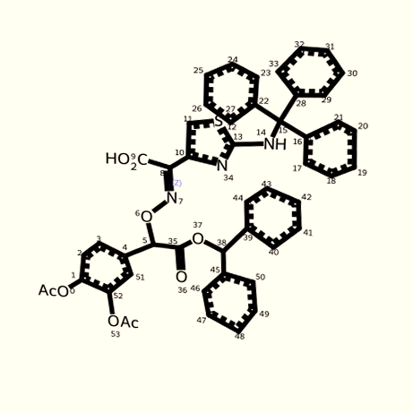 CC(=O)Oc1ccc(C(O/N=C(\C(=O)O)c2csc(NC(c3ccccc3)(c3ccccc3)c3ccccc3)n2)C(=O)OC(c2ccccc2)c2ccccc2)cc1OC(C)=O